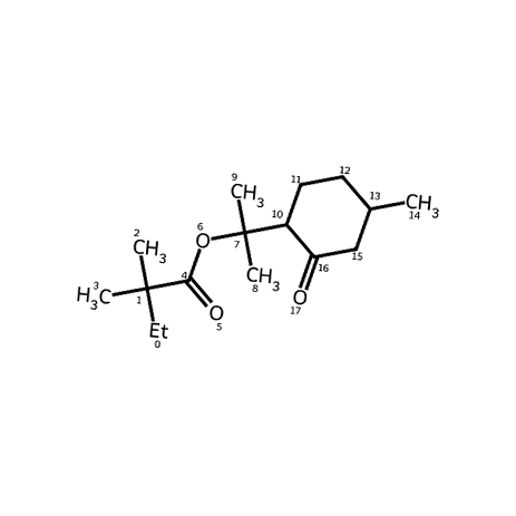 CCC(C)(C)C(=O)OC(C)(C)C1CCC(C)CC1=O